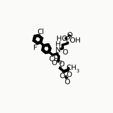 Cc1oc(=O)oc1COC(=O)CC(NC(=O)CCP(=O)(O)O)C(C)c1ccc(-c2cc(Cl)ccc2F)cc1